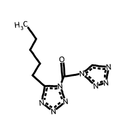 CCCCCc1nnnn1C(=O)n1cnnn1